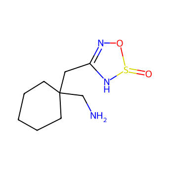 NCC1(CC2=NOS(=O)N2)CCCCC1